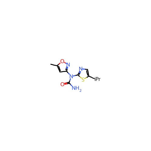 Cc1cc(N(C(N)=O)c2ncc(C(C)C)s2)no1